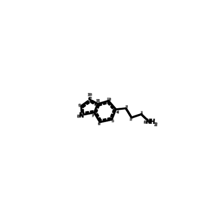 NCCCc1ccc2ncsc2c1